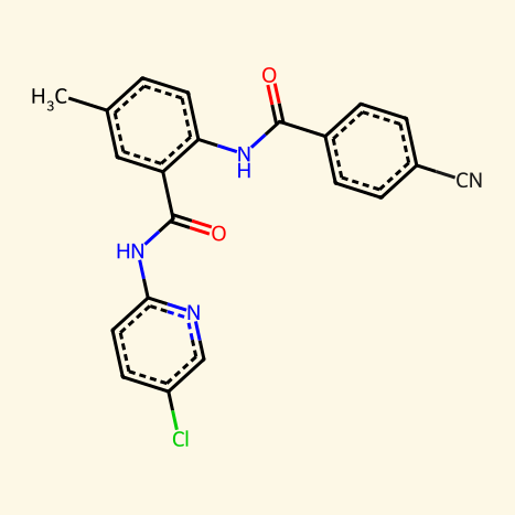 Cc1ccc(NC(=O)c2ccc(C#N)cc2)c(C(=O)Nc2ccc(Cl)cn2)c1